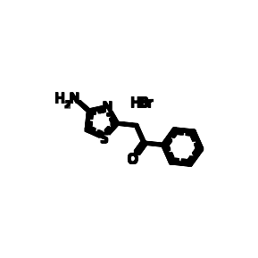 Br.Nc1csc(CC(=O)c2ccccc2)n1